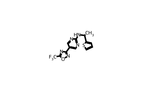 CC(Nc1ncc(-c2noc(C(F)(F)F)n2)cn1)c1cccs1